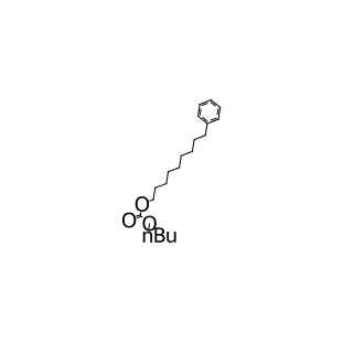 CCCCOC(=O)OCCCCCCCCCc1ccccc1